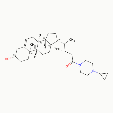 CC(CCC(=O)N1CCN(C2CC2)CC1)[C@H]1CC[C@H]2[C@@H]3CC=C4C[C@@H](O)CC[C@]4(C)[C@H]3CC[C@]12C